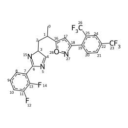 CC(CC1C=NC(c2cccc(F)c2F)=N1)c1cc(-c2ccc(C(F)(F)F)cc2C(F)(F)F)no1